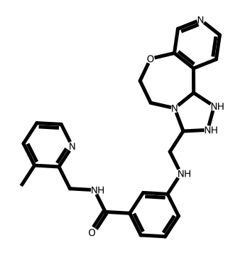 Cc1cccnc1CNC(=O)c1cccc(NCC2NNC3c4ccncc4OCCN23)c1